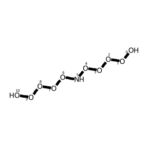 OOOOONOOOOO